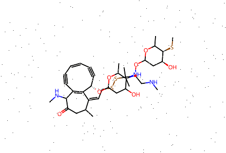 CNCCC(C)(C)SSC/C=C1\C2=C(C#C/C=C\C#C[C@@H]2OC2CC(O)[C@H](NOC3C[C@H](O)[C@H](SC)C(C)O3)C(C)O2)C(NC)C(=O)CC1C